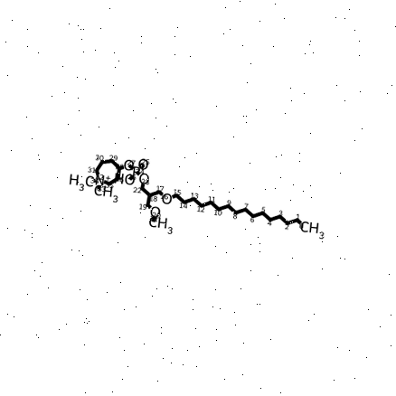 CCCCCCCCCCCCCCCCOCC(COC)COP(=O)(O)OC1CCC[N+](C)(C)CC1